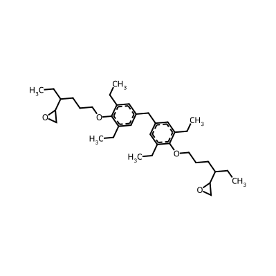 CCc1cc(Cc2cc(CC)c(OCCCC(CC)C3CO3)c(CC)c2)cc(CC)c1OCCCC(CC)C1CO1